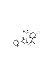 Cc1cc(Cl)nc(N2CCC[C@H]2c2cc(-c3ccccn3)no2)n1